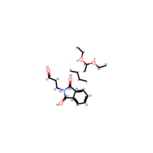 CCCC.CCOC(C)OCC.O=CCCN1C(=O)c2ccccc2C1=O